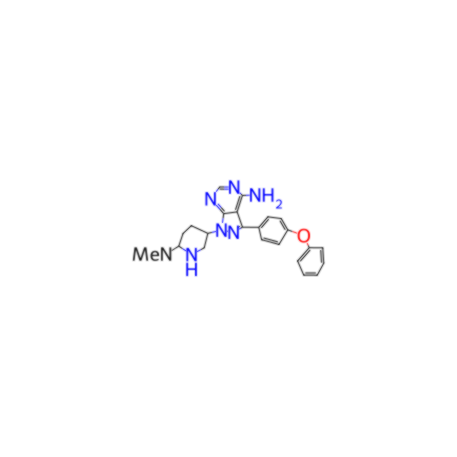 CNC1CCC(n2nc(-c3ccc(Oc4ccccc4)cc3)c3c(N)ncnc32)CN1